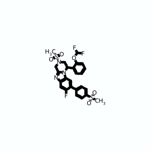 CS(=O)(=O)c1ccc(-c2cc3c(cc2F)nc2n3C(c3ccccc3OC(F)F)CN(S(C)(=O)=O)C2)cc1